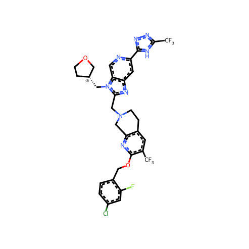 Fc1cc(Cl)ccc1COc1nc2c(cc1C(F)(F)F)CCN(Cc1nc3cc(-c4nnc(C(F)(F)F)[nH]4)ncc3n1C[C@@H]1CCOC1)C2